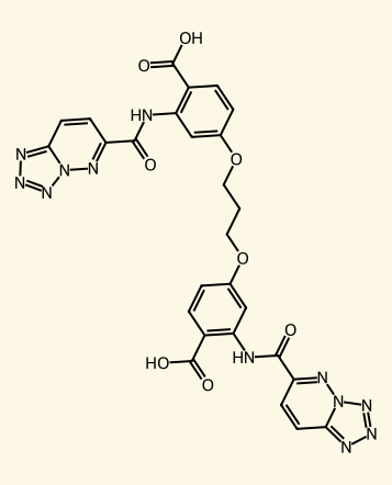 O=C(Nc1cc(OCCCOc2ccc(C(=O)O)c(NC(=O)c3ccc4nnnn4n3)c2)ccc1C(=O)O)c1ccc2nnnn2n1